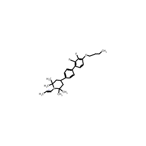 C/C=C/N1C(C)(C)CC(c2ccc(-c3ccc(OCCCC)c(F)c3F)cc2)CC1(C)C